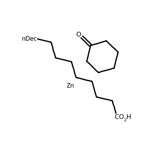 CCCCCCCCCCCCCCCCCC(=O)O.O=C1CCCCC1.[Zn]